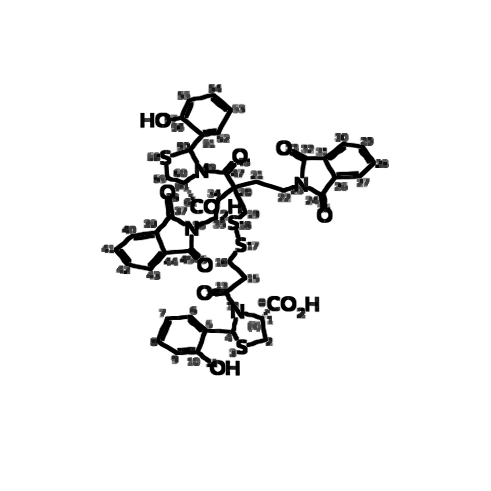 O=C(O)[C@@H]1CSC(c2ccccc2O)N1C(=O)CCSSCC(CCN1C(=O)c2ccccc2C1=O)(CCN1C(=O)c2ccccc2C1=O)C(=O)N1C(c2ccccc2O)SC[C@H]1C(=O)O